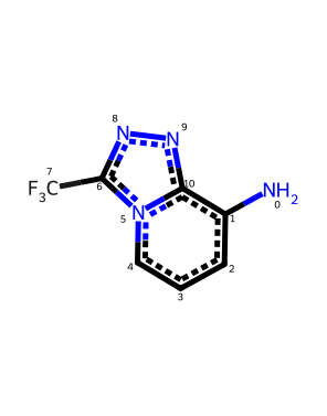 Nc1cccn2c(C(F)(F)F)nnc12